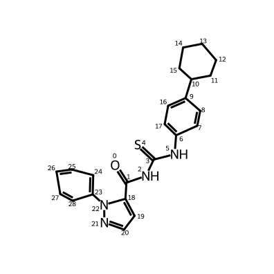 O=C(NC(=S)Nc1ccc(C2CCCCC2)cc1)c1ccnn1-c1ccccc1